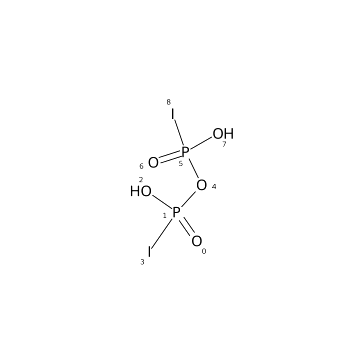 O=P(O)(I)OP(=O)(O)I